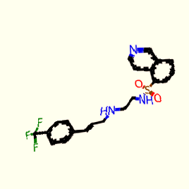 O=S(=O)(NCCNCC=Cc1ccc(C(F)(F)F)cc1)c1cccc2cnccc12